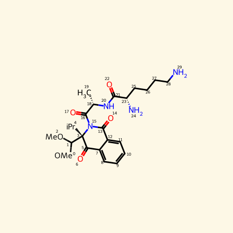 COC(OC)[C@@]1(C(C)C)C(=O)c2ccccc2C(=O)N1C(=O)[C@H](C)NC(=O)[C@@H](N)CCCCN